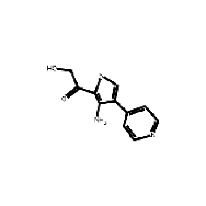 Nc1c(-c2ccncc2)csc1C(=O)CO